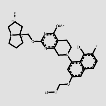 CCOCOc1cc(N2CCc3c(nc(OC[C@@]45CCCN4C[C@H](F)C5)nc3OC)C2)c2c(CC)c(F)ccc2c1